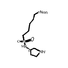 CCCCCCCCCCCCCCS(=O)(=O)N[C@@H]1CCNC1